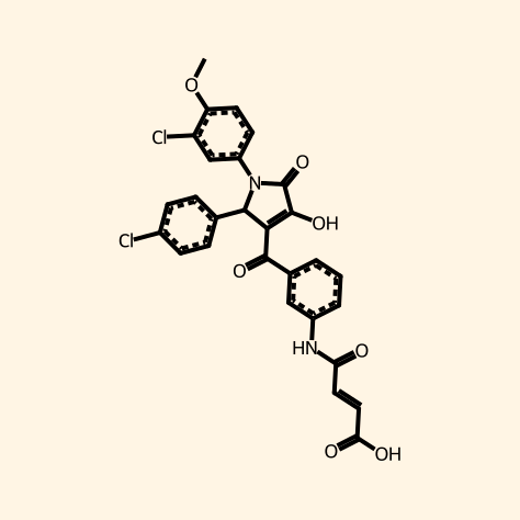 COc1ccc(N2C(=O)C(O)=C(C(=O)c3cccc(NC(=O)C=CC(=O)O)c3)C2c2ccc(Cl)cc2)cc1Cl